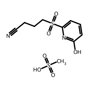 CS(=O)(=O)O.N#CCCCS(=O)(=O)c1cccc(O)n1